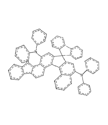 c1ccc(N(c2ccccc2)c2cc3c(c4ccccc24)-c2c(cc(N(c4ccccc4)c4ccccc4)c4c2ccc2c5ccccc5oc24)C32c3ccccc3-c3ccccc32)cc1